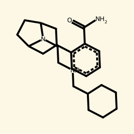 NC(=O)c1ccccc1C1CC2CCC(C1)N2CCNCC1CCCCC1